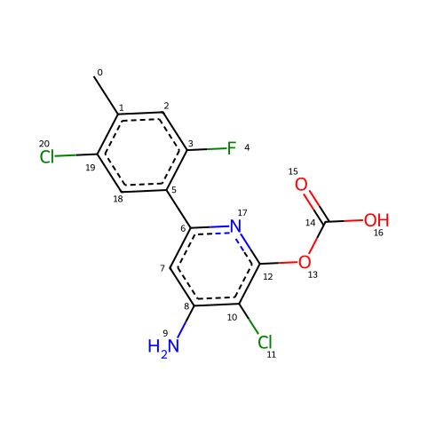 Cc1cc(F)c(-c2cc(N)c(Cl)c(OC(=O)O)n2)cc1Cl